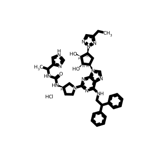 CCc1cnn([C@H]2C[C@@H](n3cnc4c(NCC(c5ccccc5)c5ccccc5)nc(N5CC[C@@H](NC(=O)NC(C)c6c[nH]cn6)C5)nc43)[C@H](O)[C@@H]2O)n1.Cl